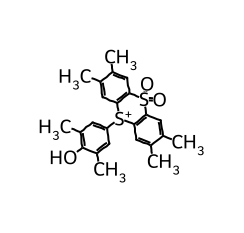 Cc1cc2c(cc1C)S(=O)(=O)c1cc(C)c(C)cc1[S+]2c1cc(C)c(O)c(C)c1